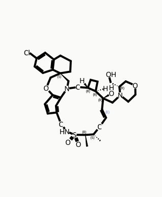 C[C@@H]1[C@@H](C)C/C=C/[C@@](O)(CN2CCOC[C@H]2CO)[C@@H]2CC[C@H]2CN2C[C@@]3(CCCc4cc(Cl)ccc43)COc3ccc(cc32)CNS1(=O)=O